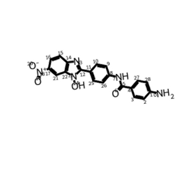 Nc1ccc(C(=O)Nc2ccc(-c3nc4ccc([N+](=O)[O-])cc4n3O)cc2)cc1